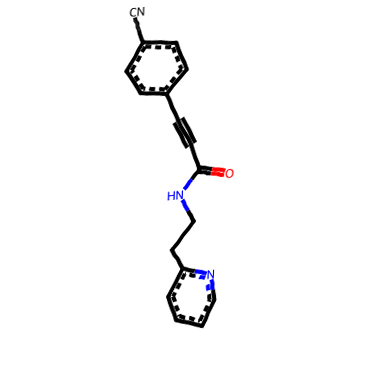 N#Cc1ccc(C#CC(=O)NCCc2ccccn2)cc1